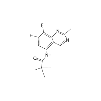 Cc1ncc2c(NC(=O)C(C)(C)C)cc(F)c(F)c2n1